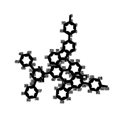 Cc1ccc(-c2ccc3c(c2)c2ccccc2n3-c2ccc(C(F)(F)F)cc2-c2ccc(-c3nc(-c4ccccc4)nc(-c4ccccc4)n3)cc2-n2c3ccccc3c3cc(-c4ccc(C)cc4)ccc32)cc1